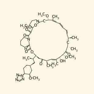 CO[C@H]1C[C@@H]2CC[C@@H](C)[C@@](O)(O2)C(=O)C(=O)N2CCCC[C@H]2C(=O)O[C@H]([C@H](C)C[C@@H]2CC[C@H](n3ncnn3)[C@H](OC)C2)CC(=O)[C@H](C)/C=C(\C)[C@@H](O)[C@@H](OC)C(=O)[C@@H](C)C[C@H](C)/C=C/C=C/C=C/1C